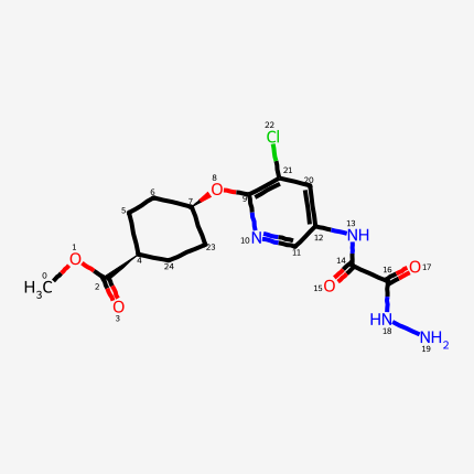 COC(=O)[C@H]1CC[C@@H](Oc2ncc(NC(=O)C(=O)NN)cc2Cl)CC1